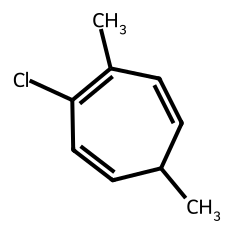 CC1=C(Cl)C=CC(C)C=C1